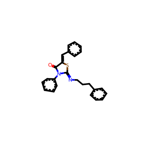 O=C1/C(=C/c2ccccc2)S/C(=N\CCCc2ccccc2)N1c1ccccc1